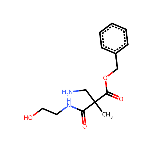 CC(CN)(C(=O)NCCO)C(=O)OCc1ccccc1